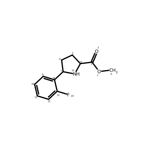 COC(=O)C1CCC(c2ccccc2F)N1